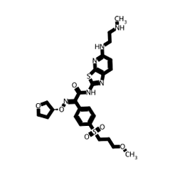 CNCCNc1ccc2nc(NC(=O)/C(=N/O[C@@H]3CCOC3)c3ccc(S(=O)(=O)CCCOC)cc3)sc2n1